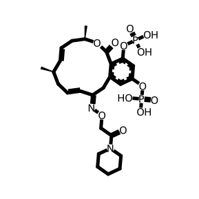 C[C@@H]1C/C=C/[C@H](C)C/C=C/C(=N/OCC(=O)N2CCCCC2)Cc2cc(OP(=O)(O)O)cc(OP(=O)(O)O)c2C(=O)O1